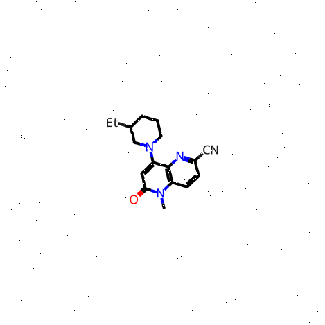 CCC1CCCN(c2cc(=O)n(C)c3ccc(C#N)nc23)C1